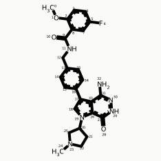 COc1ccc(F)cc1C(=O)NCc1ccc(-c2cn(C3CCN(C)C3)c3c(=O)[nH]nc(N)c23)cc1